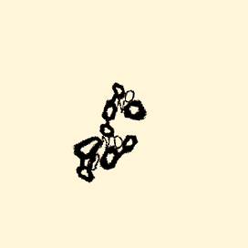 c1ccc2c(c1)Oc1cccc3c4ccc(-c5ccc(N(c6cccc7c6oc6ccccc67)c6cccc7c6oc6ccccc67)cc5)cc4n-2c13